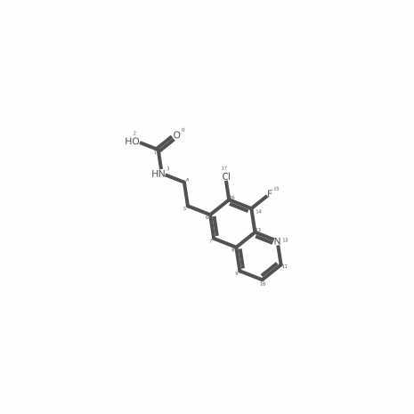 O=C(O)NCCc1cc2cccnc2c(F)c1Cl